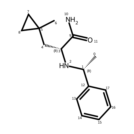 C[C@@H](N[C@H](CC1(C)CC1)C(N)=O)c1ccccc1